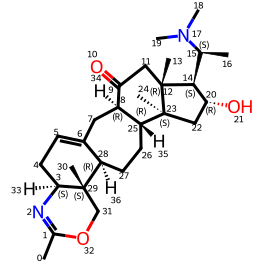 CC1=N[C@H]2CC=C3C[C@H]4C(=O)C[C@]5(C)[C@@H]([C@H](C)N(C)C)[C@H](O)C[C@@]5(C)[C@@H]4CC[C@H]3[C@]2(C)CO1